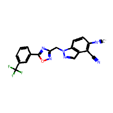 [C-]#[N+]c1ccc2c(cnn2Cc2noc(-c3cccc(C(F)(F)F)c3)n2)c1C#N